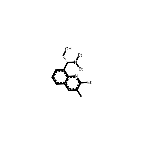 CCc1nc2c([C@H](CO)N(CC)CC)cccc2cc1C